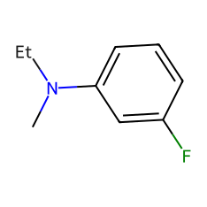 [CH2]CN(C)c1cccc(F)c1